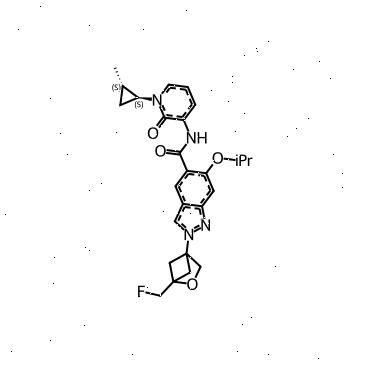 CC(C)Oc1cc2nn(C34COC(CF)(C3)C4)cc2cc1C(=O)Nc1cccn([C@H]2C[C@@H]2C)c1=O